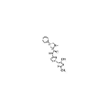 Cc1nc(C)c(-c2csc(NC(=O)[C@H]3C[C@@H](c4ccccc4)CN3)n2)s1